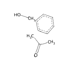 CC(C)=O.CO.c1ccccc1